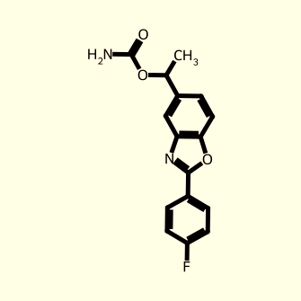 CC(OC(N)=O)c1ccc2oc(-c3ccc(F)cc3)nc2c1